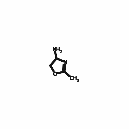 CC1=NC(N)CO1